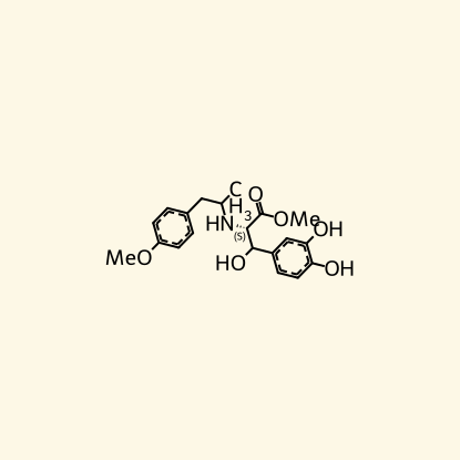 COC(=O)[C@@H](NC(C)Cc1ccc(OC)cc1)C(O)c1ccc(O)c(O)c1